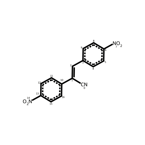 N#C/C(=C\c1ccc([N+](=O)[O-])cc1)c1ccc([N+](=O)[O-])cc1